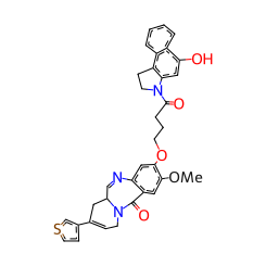 COc1cc2c(cc1OCCCC(=O)N1CCc3c1cc(O)c1ccccc31)N=CC1CC(c3ccsc3)=CCN1C2=O